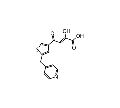 O=C(O)C(O)=CC(=O)c1csc(Cc2ccncc2)c1